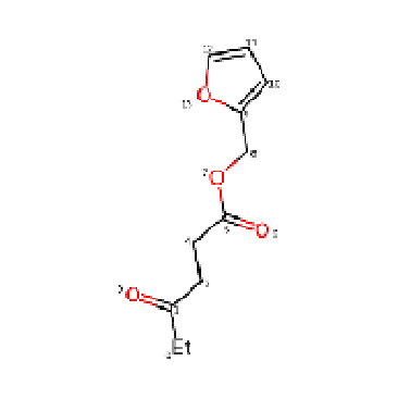 CCC(=O)CCC(=O)OCc1ccco1